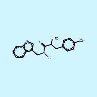 CCN(Cc1csc2ccccc12)C(=O)C(C=O)Cc1ccc(O)cc1